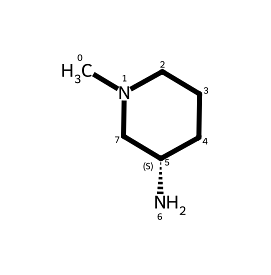 CN1CCC[C@H](N)C1